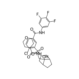 O=C(Nc1cc(F)c(F)c(F)c1)c1ccc(Cl)c(S(=O)(=O)C2CC3CCC(C2)C3(O)CNC(=O)C2CCOCC2)c1